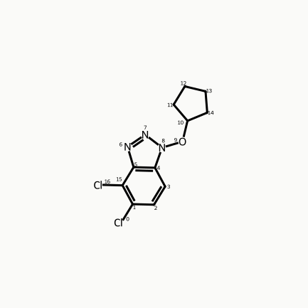 Clc1ccc2c(nnn2OC2CCCC2)c1Cl